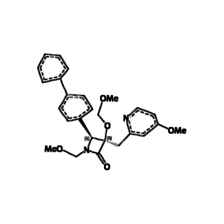 COCO[C@@]1(Cc2cc(OC)ccn2)C(=O)N(COC)[C@H]1c1ccc(-c2ccccc2)cc1